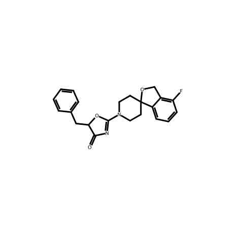 O=C1N=C(N2CCC3(CC2)OCc2c(F)cccc23)OC1Cc1ccccc1